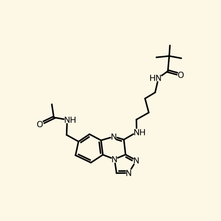 CC(=O)NCc1ccc2c(c1)nc(NCCCCNC(=O)C(C)(C)C)c1nncn12